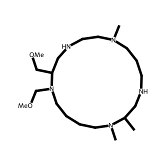 COCC1CNCCN(C)CCCNCC(C)N(C)CCCCN1COC